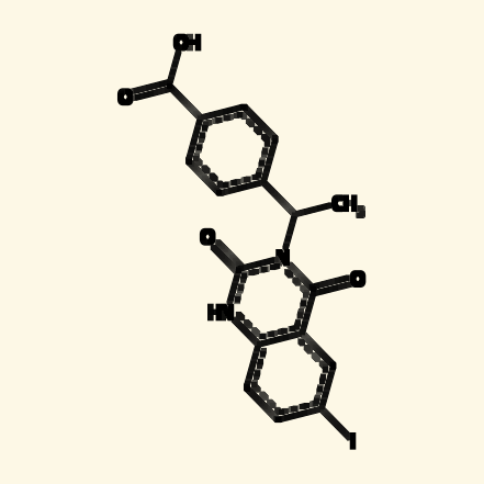 CC(c1ccc(C(=O)O)cc1)n1c(=O)[nH]c2ccc(I)cc2c1=O